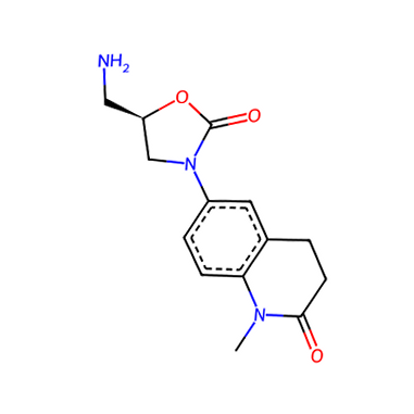 CN1C(=O)CCc2cc(N3C[C@@H](CN)OC3=O)ccc21